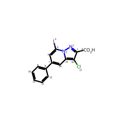 O=C(O)c1nn2c(I)cc(-c3ccccc3)cc2c1Cl